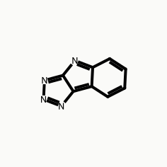 c1ccc2c(c1)=NC1=NN=NC=21